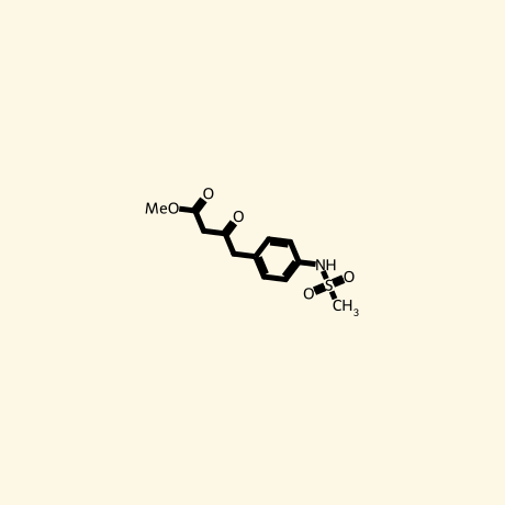 COC(=O)CC(=O)Cc1ccc(NS(C)(=O)=O)cc1